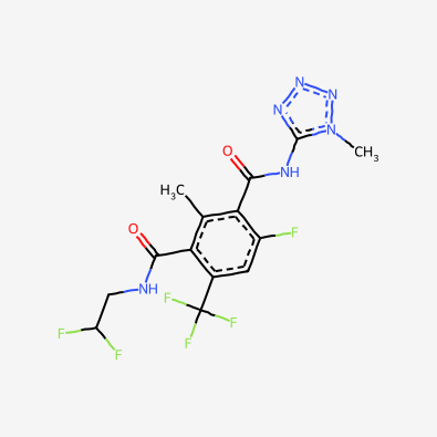 Cc1c(C(=O)Nc2nnnn2C)c(F)cc(C(F)(F)F)c1C(=O)NCC(F)F